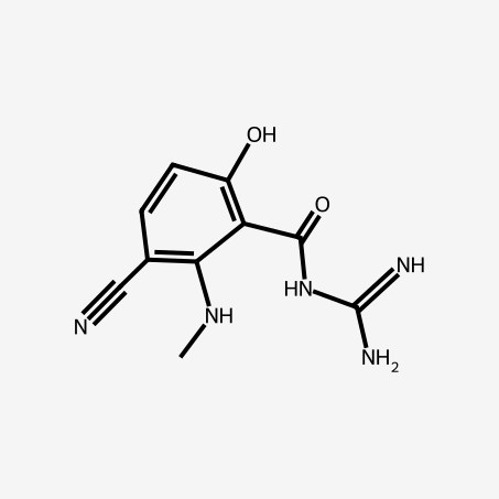 CNc1c(C#N)ccc(O)c1C(=O)NC(=N)N